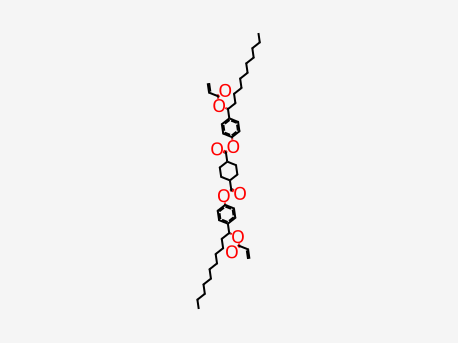 C=CC(=O)OC(CCCCCCCCCC)c1ccc(OC(=O)C2CCC(C(=O)Oc3ccc(C(CCCCCCCCCC)OC(=O)C=C)cc3)CC2)cc1